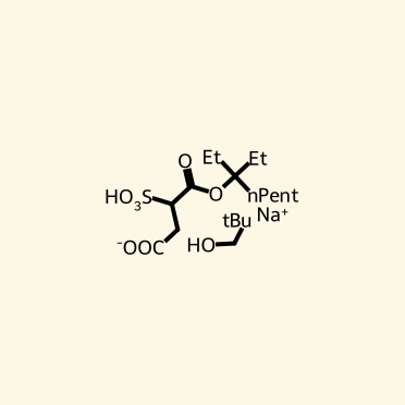 CC(C)(C)CO.CCCCCC(CC)(CC)OC(=O)C(CC(=O)[O-])S(=O)(=O)O.[Na+]